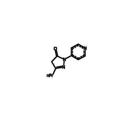 CCCC1=NN(c2ccncc2)C(=O)C1